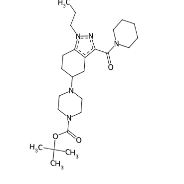 CCCn1nc(C(=O)N2CCCCC2)c2c1CCC(N1CCN(C(=O)OC(C)(C)C)CC1)C2